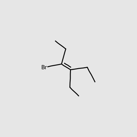 CCC(Br)=C(CC)CC